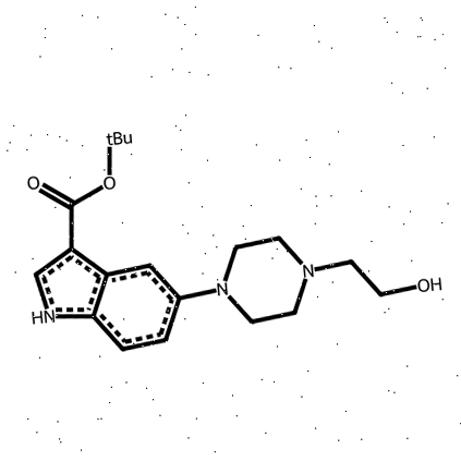 CC(C)(C)OC(=O)c1c[nH]c2ccc(N3CCN(CCO)CC3)cc12